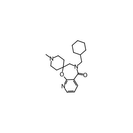 CN1CCC2(CC1)CN(CC1CCCCC1)C(=O)c1cccnc1O2